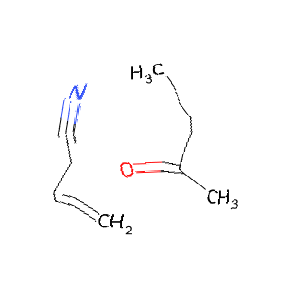 C=CC#N.CCC(C)=O